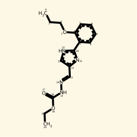 CCCOc1ccccc1-c1nc(C=NNC(=O)OCC)c[nH]1